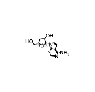 Nc1ncnc2c1ccn2[C@@H]1O[C@H](CO)CC1O